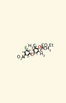 CCOC(=O)C(C)(C)Oc1ccc(Oc2cc(F)cc([N+](=O)[O-])c2)cc1C